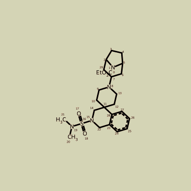 CCOC(=O)N1C2CCC1CC(N1CCC3(CC1)CN(S(=O)(=O)N(C)C)Cc1ccccc13)C2